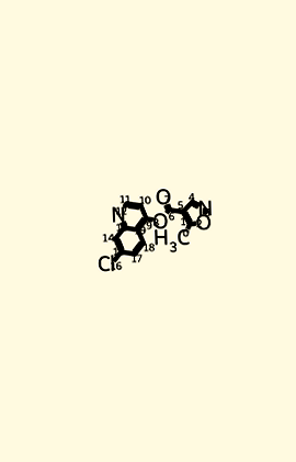 Cc1oncc1C(=O)Oc1ccnc2cc(Cl)ccc12